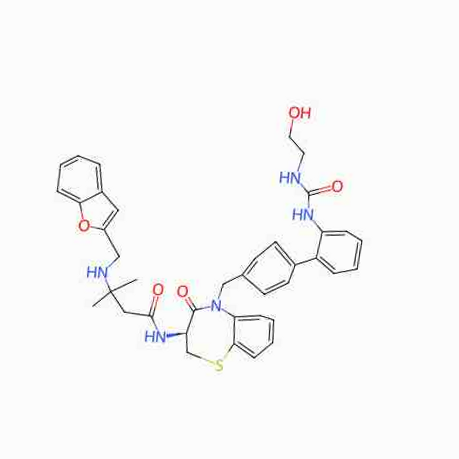 CC(C)(CC(=O)N[C@@H]1CSc2ccccc2N(Cc2ccc(-c3ccccc3NC(=O)NCCO)cc2)C1=O)NCc1cc2ccccc2o1